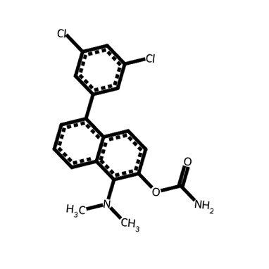 CN(C)c1c(OC(N)=O)ccc2c(-c3cc(Cl)cc(Cl)c3)cccc12